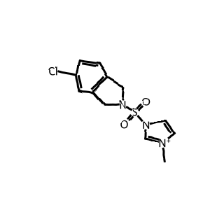 C[n+]1ccn(S(=O)(=O)N2Cc3ccc(Cl)cc3C2)c1